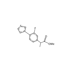 COC(=O)C(C)c1ccc(-c2ccsc2)c(F)c1